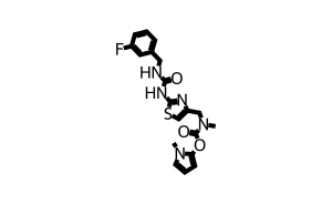 CN(Cc1csc(NC(=O)NCc2cccc(F)c2)n1)C(=O)Oc1cccn1C